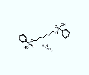 N.N.O=P(O)(OCCCCCCOP(=O)(O)c1ccccc1)c1ccccc1